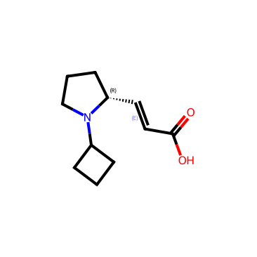 O=C(O)/C=C/[C@H]1CCCN1C1CCC1